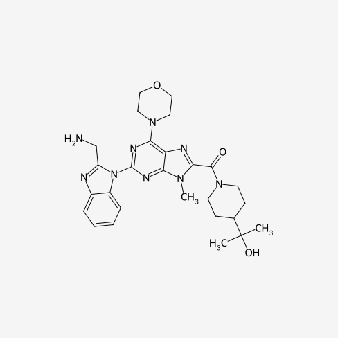 Cn1c(C(=O)N2CCC(C(C)(C)O)CC2)nc2c(N3CCOCC3)nc(-n3c(CN)nc4ccccc43)nc21